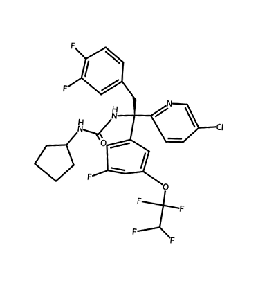 O=C(NC1CCCC1)N[C@@](Cc1ccc(F)c(F)c1)(c1cc(F)cc(OC(F)(F)C(F)F)c1)c1ccc(Cl)cn1